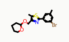 Cc1cc(Br)cc(-c2nc(COC3CCCCO3)c(C)s2)c1